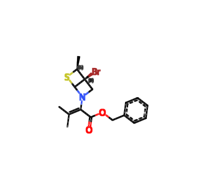 CC(C)=C(C(=O)OCc1ccccc1)N1C[C@]2(Br)C1S[C@H]2C